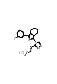 O=C(O)CSc1nncn1-c1sc(-c2cccc(F)c2)c2c1CCCC2